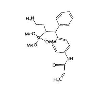 C=CC(=O)Nc1ccc(C(c2ccccc2)C(CCN)[Si](OC)(OC)OC)cc1